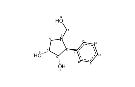 OCN1C[C@@H](O)[C@@H](O)[C@@H]1c1ccccc1